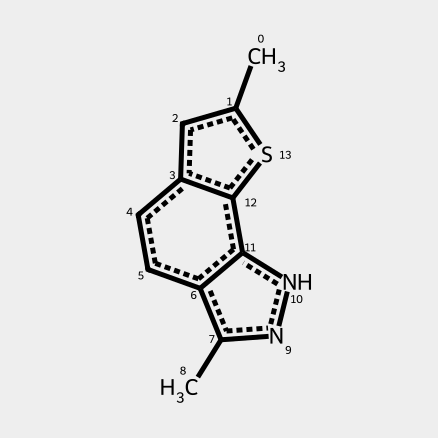 Cc1cc2ccc3c(C)n[nH]c3c2s1